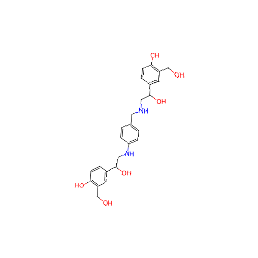 OCc1cc(C(O)CNCc2ccc(NCC(O)c3ccc(O)c(CO)c3)cc2)ccc1O